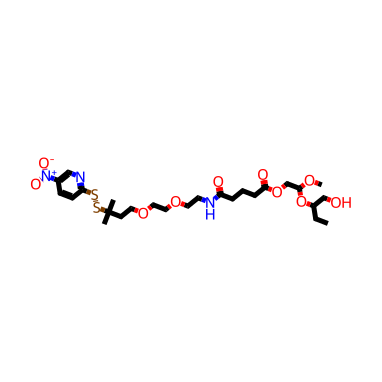 CCC(CO)OC(COC(=O)CCCC(=O)NCCOCCOCCC(C)(C)SSc1ccc([N+](=O)[O-])cn1)OC